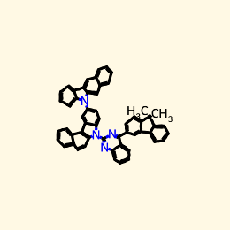 CC1(C)c2ccccc2-c2cc(-c3nc(-n4c5ccc(-n6c7ccccc7c7cc8ccccc8cc76)cc5c5c6ccccc6ccc54)nc4ccccc34)ccc21